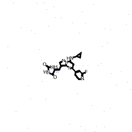 O=C1NC(=O)/C(=C/c2cnn3c(NC4CC4)cc(-c4ccnc(F)c4)nc23)N1